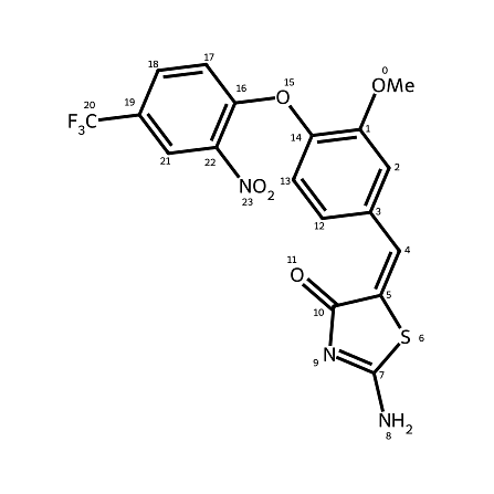 COc1cc(/C=C2/SC(N)=NC2=O)ccc1Oc1ccc(C(F)(F)F)cc1[N+](=O)[O-]